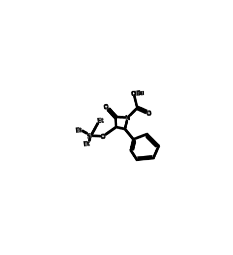 CC[Si](CC)(CC)OC1C(=O)N(C(=O)OCC(C)C)C1c1ccccc1